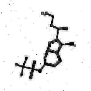 CCOC(=O)c1oc2cc(OS(=O)(=O)C(F)(F)F)ccc2c1C